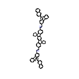 C(=C\c1ccc2c(c1)c1ccccc1n2-c1ccc2ccccc2c1)/c1ccc2c(c1)C1(CCCC1)c1cc3c(cc1-2)C1(CCCC1)c1cc(/C=C/c2ccc4c(c2)c2ccccc2n4-c2ccc4ccccc4c2)ccc1-3